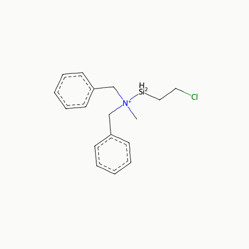 C[N+](Cc1ccccc1)(Cc1ccccc1)[SiH2]CCCl